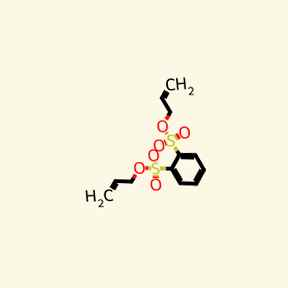 C=CCOS(=O)(=O)c1ccccc1S(=O)(=O)OCC=C